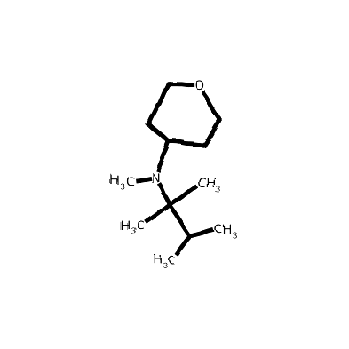 CC(C)C(C)(C)N(C)C1CCOCC1